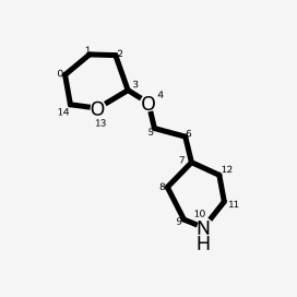 C1CCC(OCCC2CCNCC2)OC1